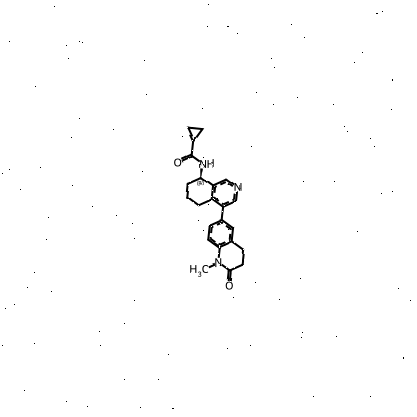 CN1C(=O)CCc2cc(-c3cncc4c3CCC[C@H]4NC(=O)C3CC3)ccc21